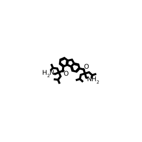 CC(C)CC(CN)(CC(C)C)C(=O)c1ccc2c(c1)Cc1cccc(C(=O)C(CN)(CC(C)C)CC(C)C)c1-2